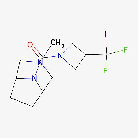 CN1CC2CCC(C1)N2C(=O)N1CC(C(F)(F)I)C1